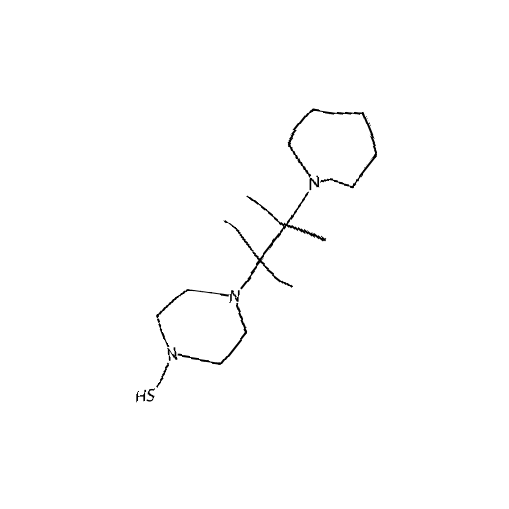 CC(C)(N1CCCCC1)C(C)(C)N1CCN(S)CC1